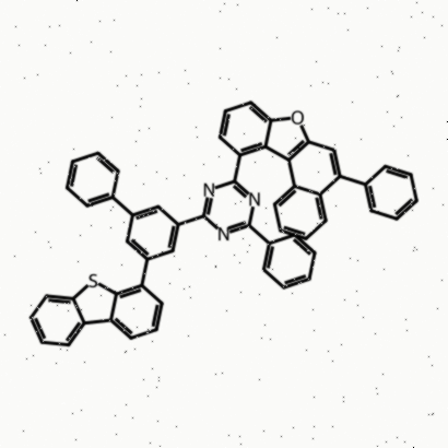 c1ccc(-c2cc(-c3nc(-c4ccccc4)nc(-c4cccc5oc6cc(-c7ccccc7)c7ccccc7c6c45)n3)cc(-c3cccc4c3sc3ccccc34)c2)cc1